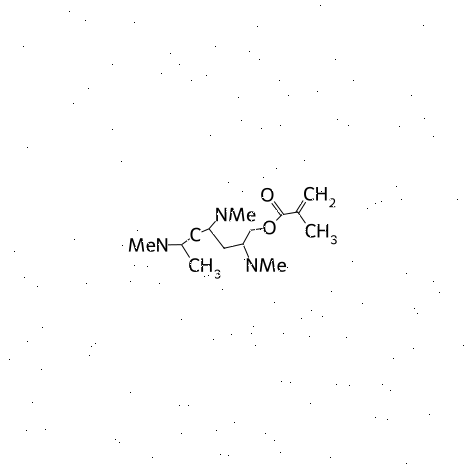 C=C(C)C(=O)OCC(CC(CC(C)NC)NC)NC